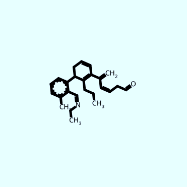 C=C(/C=C\CC=O)C1=C(CCC)C(c2cccc(C)c2/C=N\CC)CC=C1